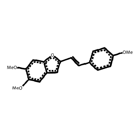 COc1ccc(C=Cc2cc3cc(OC)c(OC)cc3o2)cc1